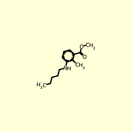 CCCCCNc1cccc(C(=O)OC)c1C